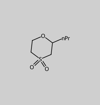 CCCC1CS(=O)(=O)CCO1